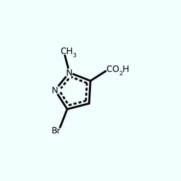 Cn1nc(Br)cc1C(=O)O